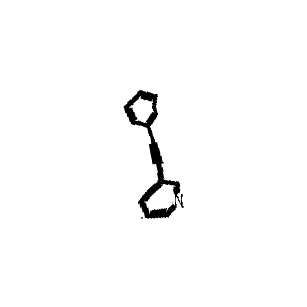 C(#Cc1c[c]cnc1)c1ccccc1